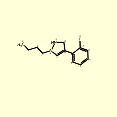 CCCCN1C=C(c2ccccc2F)CN1